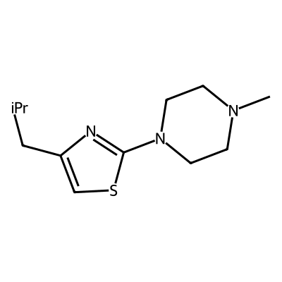 CC(C)Cc1csc(N2CCN(C)CC2)n1